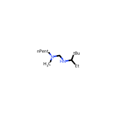 CCCCCN(C)CNC(CC)C(C)(C)C